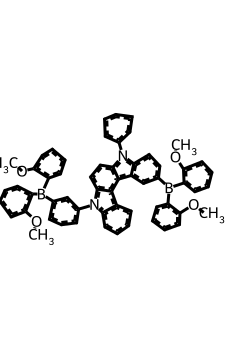 COc1ccccc1B(c1cccc(-n2c3ccccc3c3c4c5cc(B(c6ccccc6OC)c6ccccc6OC)ccc5n(-c5ccccc5)c4ccc32)c1)c1ccccc1OC